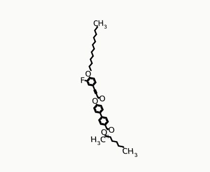 CCCCCCCCCCCCCCOc1ccc(C#CC(=O)Oc2ccc(-c3ccc(C(=O)O[C@H](C)CCCCCC)cc3)cc2)cc1F